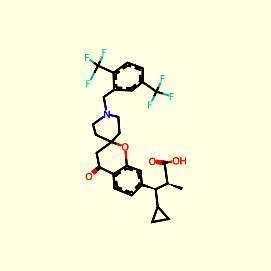 C[C@H](C(=O)O)[C@H](c1ccc2c(c1)OC1(CCN(Cc3cc(C(F)(F)F)ccc3C(F)(F)F)CC1)CC2=O)C1CC1